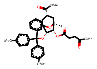 CNC(=O)[C@@H]1C[C@@H]2O[C@H](C1)[C@@H](OC(c1ccccc1)(c1ccc(OC)cc1)c1ccc(OC)cc1)[C@H]2OC(=O)CCC(=O)OC